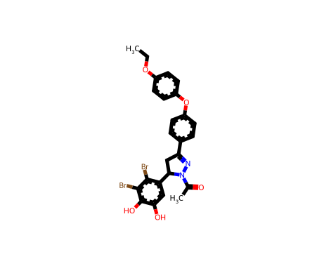 CCOc1ccc(Oc2ccc(C3=NN(C(C)=O)C(c4cc(O)c(O)c(Br)c4Br)C3)cc2)cc1